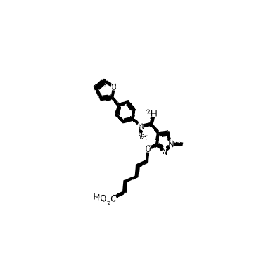 [2H]C(c1cn(C)nc1OCCCCCC(=O)O)N(c1ccc(-c2ccco2)cc1)C(C)C